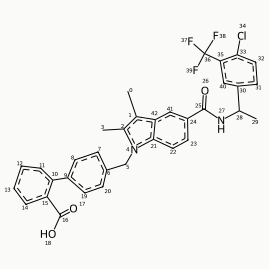 Cc1c(C)n(Cc2ccc(-c3ccccc3C(=O)O)cc2)c2ccc(C(=O)NC(C)c3ccc(Cl)c(C(F)(F)F)c3)cc12